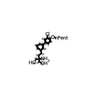 CCCCCOc1ccc(-c2cccc(CCC(N)(CO)CO)c2)cc1Cl